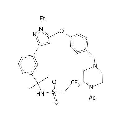 CCn1nc(-c2cccc(C(C)(C)NS(=O)(=O)CC(F)(F)F)c2)cc1Oc1ccc(CN2CCN(C(C)=O)CC2)cc1